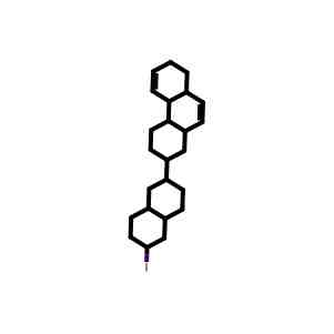 IC1CCC2CC(C3CCC4C(C=CC5CCC=CC54)C3)CCC2C1